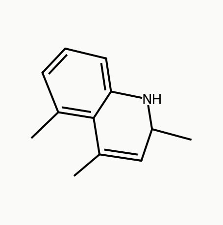 CC1=CC(C)Nc2cccc(C)c21